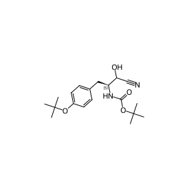 CC(C)(C)OC(=O)N[C@@H](Cc1ccc(OC(C)(C)C)cc1)C(O)C#N